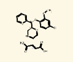 COc1cc(Cl)ccc1O[C@@H](c1ccccn1)[C@@H]1CNCCO1.O=C(O)/C=C/C(=O)O